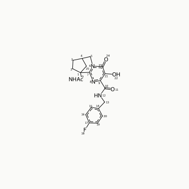 CC(=O)NC12CCC(Cn3c1nc(C(=O)NCc1ccc(F)cc1)c(O)c3=O)C2